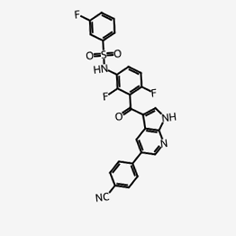 N#Cc1ccc(-c2cnc3[nH]cc(C(=O)c4c(F)ccc(NS(=O)(=O)c5cccc(F)c5)c4F)c3c2)cc1